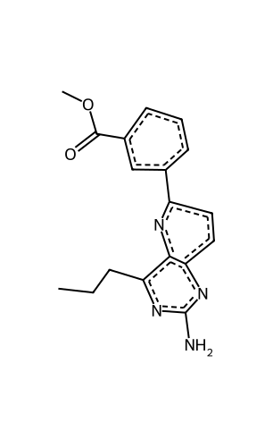 CCCc1nc(N)nc2ccc(-c3cccc(C(=O)OC)c3)nc12